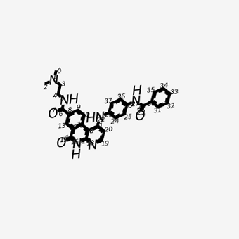 CN(C)CCNC(=O)c1ccc2c(c1)c(=O)[nH]c1nccc(Nc3ccc(NC(=O)c4ccccc4)cc3)c12